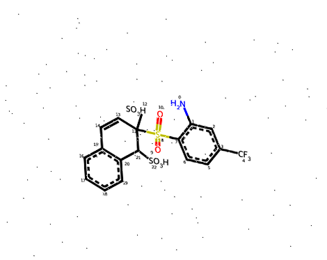 Nc1cc(C(F)(F)F)ccc1S(=O)(=O)C1(S(=O)(=O)O)C=Cc2ccccc2C1S(=O)(=O)O